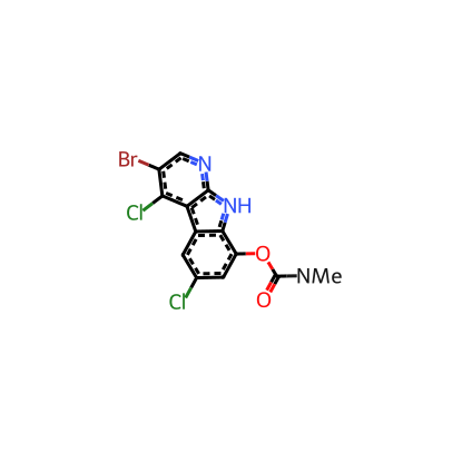 CNC(=O)Oc1cc(Cl)cc2c1[nH]c1ncc(Br)c(Cl)c12